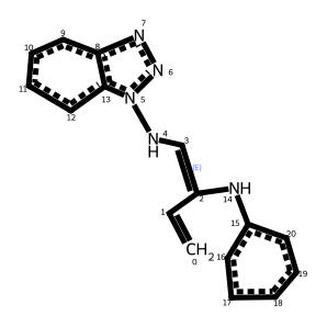 C=C/C(=C\Nn1nnc2ccccc21)Nc1ccccc1